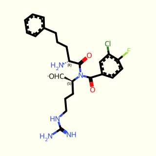 N=C(N)NCCC[C@@H]([C]=O)N(C(=O)c1ccc(F)c(Cl)c1)C(=O)[C@H](N)CCCc1ccccc1